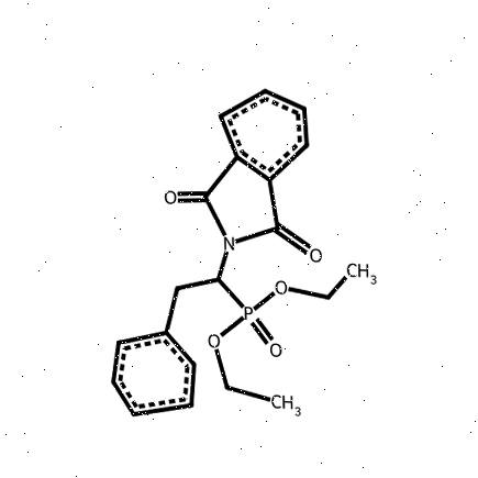 CCOP(=O)(OCC)C(Cc1ccccc1)N1C(=O)c2ccccc2C1=O